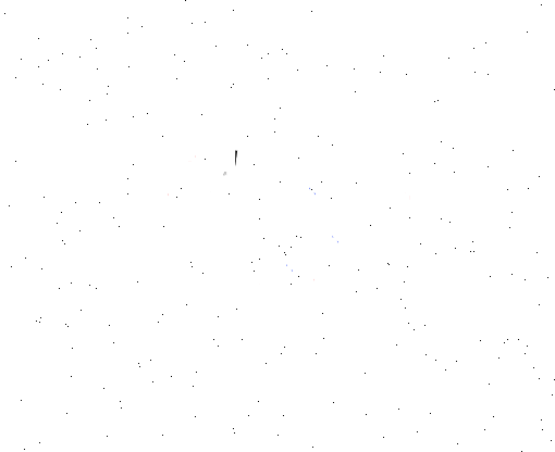 COC(=O)C[C@@H](C)c1cnc(N(CC(C)C)C2CCOCC2)c([N+](=O)[O-])c1